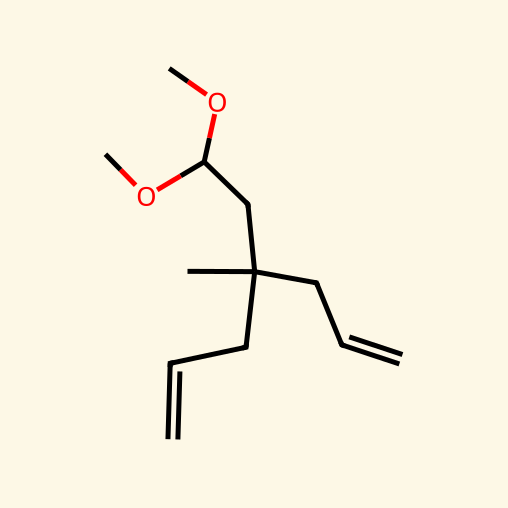 C=CCC(C)(CC=C)CC(OC)OC